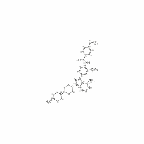 COc1cc(-c2nn([C@H]3CC[C@H](N4CCN(C)CC4)CC3)c3ncnc(N)c23)ccc1NC(=O)c1ccc(OC(F)(F)F)cc1